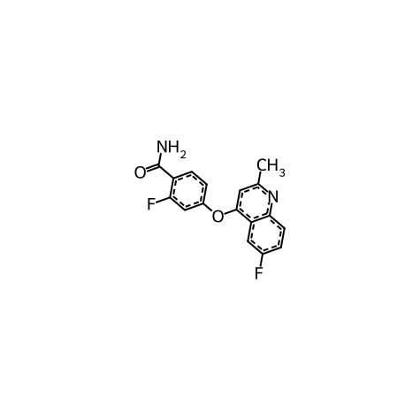 Cc1cc(Oc2ccc(C(N)=O)c(F)c2)c2cc(F)ccc2n1